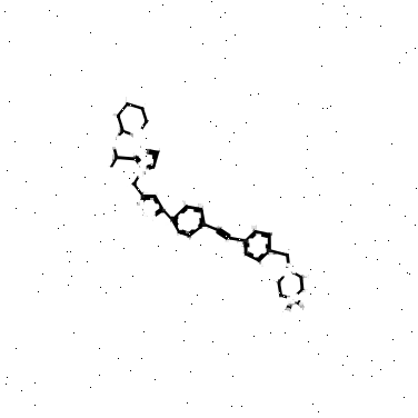 CC(OC1CCCCO1)c1nccn1Cc1cc(-c2ccc(C#Cc3ccc(CN4CCS(=O)(=O)CC4)cc3)cc2)on1